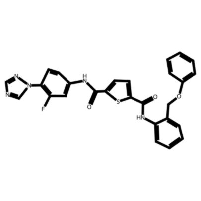 O=C(Nc1ccc(-n2cncn2)c(F)c1)c1ccc(C(=O)Nc2ccccc2COc2ccccc2)s1